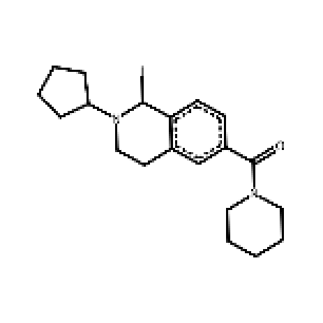 O=C(c1ccc2c(c1)CCN(C1CCCC1)C2I)N1CCCCC1